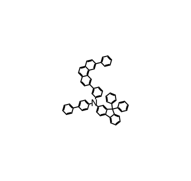 c1ccc(-c2ccc(N(c3cccc(-c4ccc5ccc6ccc(-c7ccccc7)cc6c5c4)c3)c3ccc4c(c3)C(c3ccccc3)(c3ccccc3)c3ccccc3-4)cc2)cc1